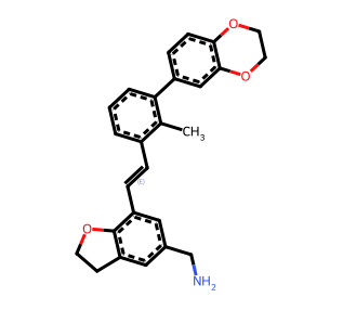 Cc1c(/C=C/c2cc(CN)cc3c2OCC3)cccc1-c1ccc2c(c1)OCCO2